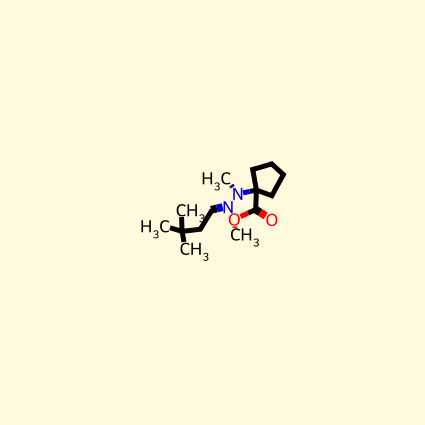 COC(=O)C1(N(C)N=CCC(C)(C)C)CCCC1